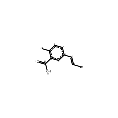 [CH2]c1ccc(C=CBr)cc1C(=O)O